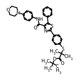 CC(C)(C)OC(=O)C(C)(C)Sc1ccc(-c2nc(C(=O)Nc3ccc(N4CCOCC4)cc3)c(-c3ccccc3)s2)cc1